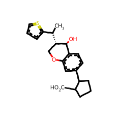 CC(c1cccs1)[C@H]1COc2cc(C3CCCC3C(=O)O)ccc2[C@@H]1O